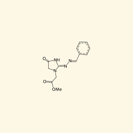 COC(=O)CN1CC(=O)N/C1=N\N=C\c1ccccc1